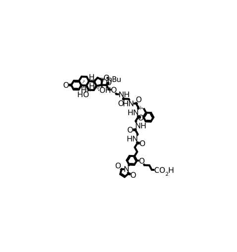 CCCCO[C@@H]1C[C@H]2[C@@H]3CCC4=CC(=O)C=C[C@]4(C)[C@H]3[C@@H](O)C[C@]2(C)[C@@]1(O)C(=O)COCNC(=O)CNC(=O)[C@H](Cc1ccccc1)NC(=O)CNC(=O)CNC(=O)CCc1ccc(N2C(=O)C=CC2=O)cc1OCCCC(=O)O